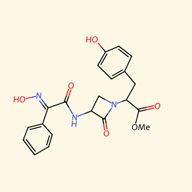 COC(=O)C(Cc1ccc(O)cc1)N1CC(NC(=O)/C(=N/O)c2ccccc2)C1=O